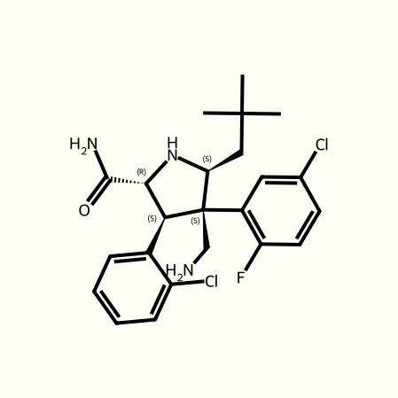 CC(C)(C)C[C@@H]1N[C@@H](C(N)=O)[C@H](c2ccccc2Cl)[C@@]1(CN)c1cc(Cl)ccc1F